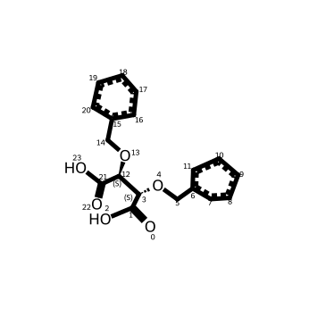 O=C(O)[C@@H](OCc1ccccc1)[C@H](OCc1ccccc1)C(=O)O